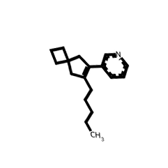 CCCCCC1=C(c2cccnc2)CC2(CCC2)C1